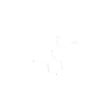 CC(=O)OCC(=Cc1ccccc1C)C(C)C